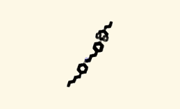 CCCCC[C@H]1CC[C@H](/C=C/CCc2ccc([C@H]3OC[C@H](CCC)CO3)cc2)CC1